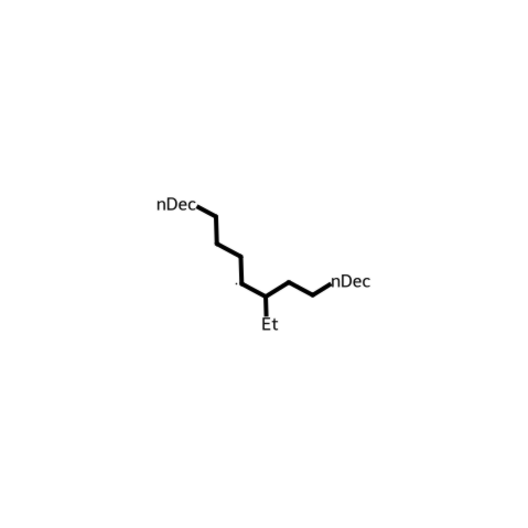 CCCCCCCCCCCCC[CH]C(CC)CCCCCCCCCCCC